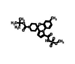 COS(=O)(=O)NC(=O)c1ccc2n1-c1ccc(C)cc1OC21CCN(C(=O)OC(C)(C)C)CC1